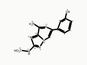 N#Cc1cccc(-c2cn3nc(NC(=O)O)nc3c(N)n2)c1